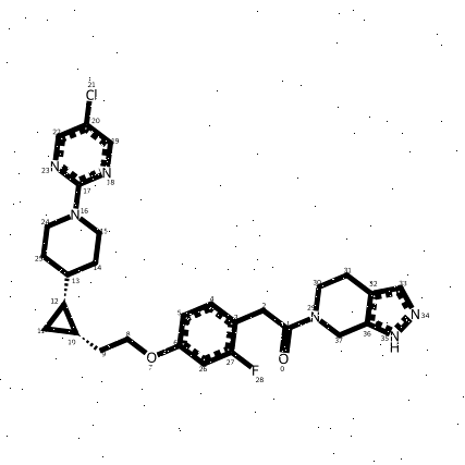 O=C(Cc1ccc(OCC[C@@H]2C[C@@H]2C2CCN(c3ncc(Cl)cn3)CC2)cc1F)N1CCc2cn[nH]c2C1